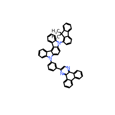 CC1(C)c2ccccc2-c2cccc(-n3c4ccccc4c4c5c6ccccc6n(-c6cccc(-c7cnc8c9ccccc9c9ccccc9c8n7)c6)c5ccc43)c21